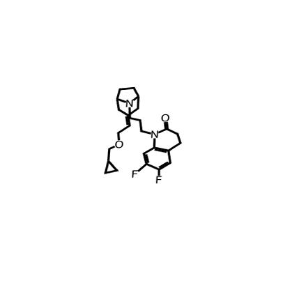 O=C1CCc2cc(F)c(F)cc2N1CCCN1C2CCC1CC(=CCOCC1CC1)C2